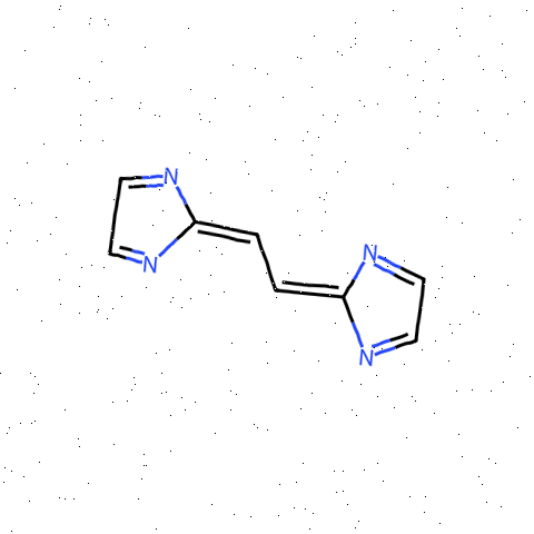 C1=NC(=CC=C2N=CC=N2)N=C1